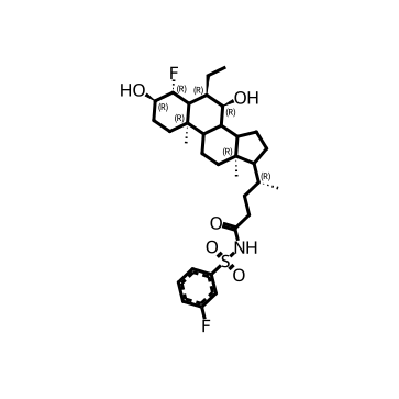 CC[C@@H]1C2[C@@H](F)[C@H](O)CC[C@]2(C)C2CC[C@@]3(C)C(CCC3[C@H](C)CCC(=O)NS(=O)(=O)c3cccc(F)c3)C2[C@@H]1O